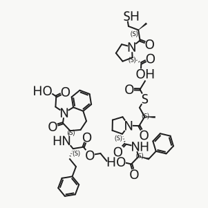 CC(=O)SC[C@@H](C)C(=O)N1CCC[C@H]1C(=O)N[C@@H](Cc1ccccc1)C(=O)O.CCOC(=O)[C@H](CCc1ccccc1)N[C@H]1CCc2ccccc2N(CC(=O)O)C1=O.C[C@H](CS)C(=O)N1CCC[C@H]1C(=O)O